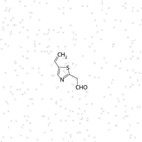 C=Cc1cnc(CC=O)s1